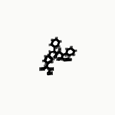 COC(=O)C(NC(=O)[C@@H](Cc1ccc(C(=N)NO)cc1)C1CCCCC1)C1CCCCC1